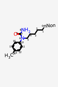 CCCCCCCCCCCCCCN(C(N)=O)c1ccc(C)cc1